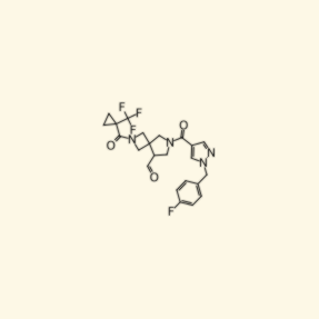 O=CC1CN(C(=O)c2cnn(Cc3ccc(F)cc3)c2)CC12CN(C(=O)C1(C(F)(F)F)CC1)C2